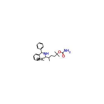 CC(CCC(C)(C)OC(N)=O)C(C=O)NC(c1ccccc1)c1ccccc1